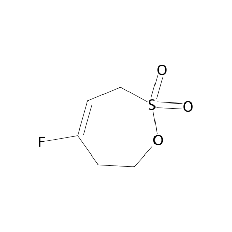 O=S1(=O)CC=C(F)CCO1